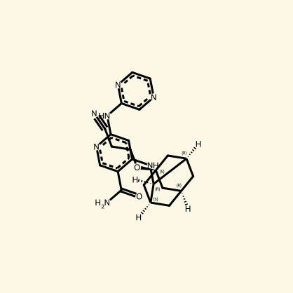 N#CCCO[C@]12C[C@H]3C[C@H](C1)[C@H](Nc1cc(Nc4cnccn4)ncc1C(N)=O)[C@@H](C3)C2